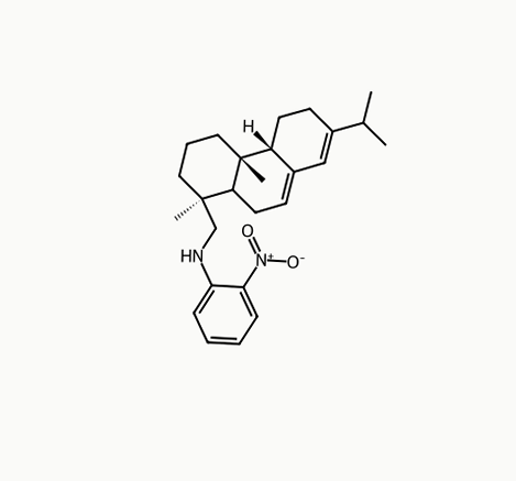 CC(C)C1=CC2=CCC3[C@@](C)(CNc4ccccc4[N+](=O)[O-])CCC[C@]3(C)[C@@H]2CC1